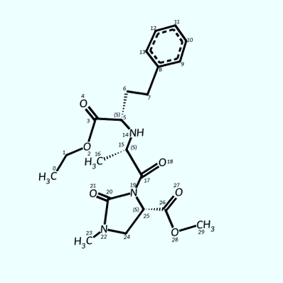 CCOC(=O)[C@H](CCc1ccccc1)N[C@@H](C)C(=O)N1C(=O)N(C)C[C@H]1C(=O)OC